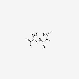 C=C(C)C(O)CSC(=O)C(C)NC